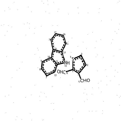 O=Cc1ccsc1C=O.c1ccc2c(c1)[nH]c1ccccc12